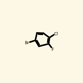 Fc1cc(Br)c[c]c1Cl